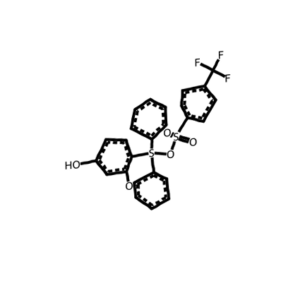 O=S(=O)(OS(c1ccccc1)(c1ccccc1)c1ccc(O)cc1O)c1ccc(C(F)(F)F)cc1